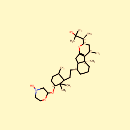 CC(=O)O[C@@H]([C@H]1C[C@@H](C)C2=C(CC3[C@H](CCC4C(C)CC[C@H](OC5CN(O)CCO5)C4(C)C)CCC[C@]23C)O1)C(C)(C)O